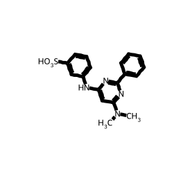 CN(C)c1cc(Nc2cccc(S(=O)(=O)O)c2)nc(-c2ccccc2)n1